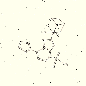 CS(=O)(=O)c1ccc(-c2nccs2)c2oc(N3CC4CC(C3)N4C(=O)O)nc12